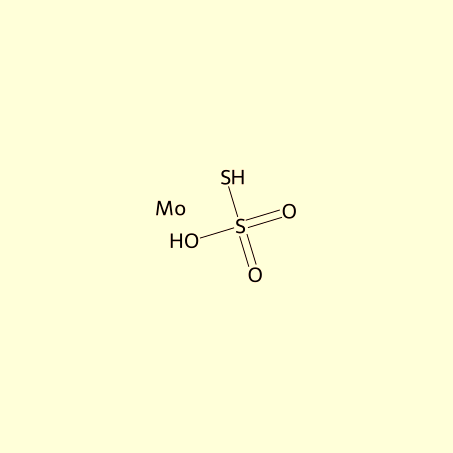 O=S(=O)(O)S.[Mo]